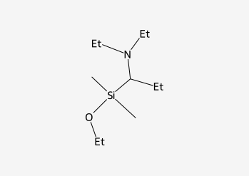 CCO[Si](C)(C)C(CC)N(CC)CC